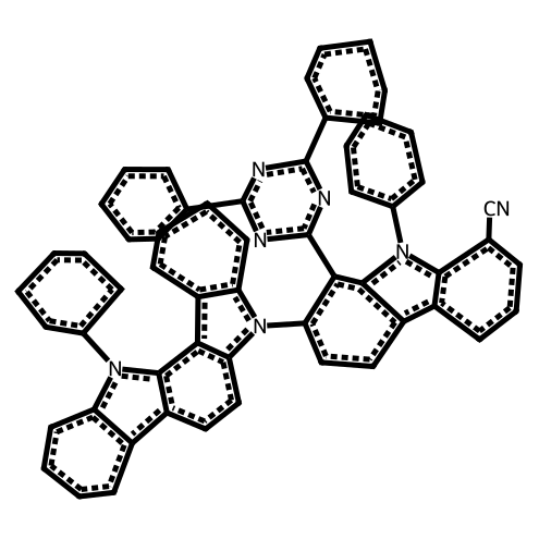 N#Cc1cccc2c3ccc(-n4c5ccccc5c5c4ccc4c6ccccc6n(-c6ccccc6)c45)c(-c4nc(-c5ccccc5)nc(-c5ccccc5)n4)c3n(-c3ccccc3)c12